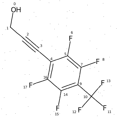 OCC#Cc1c(F)c(F)c(C(F)(F)F)c(F)c1F